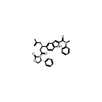 C=C(C)C[C@H](CC(=O)N1C(=O)OC[C@H]1c1ccccc1)c1ccc2[nH]c(C(=O)N(C)c3ccccc3)cc2c1